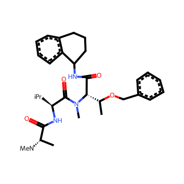 CN[C@@H](C)C(=O)N[C@H](C(=O)N(C)[C@H](C(=O)NC1CCCc2ccccc21)C(C)OCc1ccccc1)C(C)C